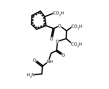 NCC(=O)NCC(=O)OC(C(=O)O)C(OC(=O)c1ccccc1C(=O)O)C(=O)O